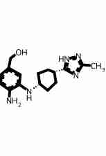 Cc1n[nH]c([C@H]2CC[C@@H](Nc3cc(CO)ccc3N)CC2)n1